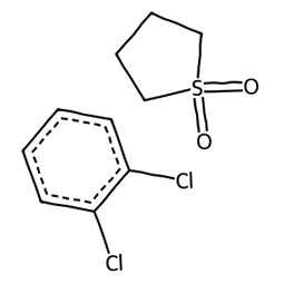 Clc1ccccc1Cl.O=S1(=O)CCCC1